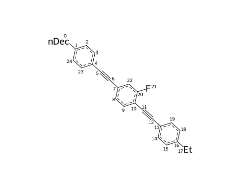 CCCCCCCCCCc1ccc(C#Cc2ccc(C#Cc3ccc(CC)cc3)c(F)c2)cc1